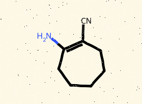 N#CC1=C(N)CCCCC1